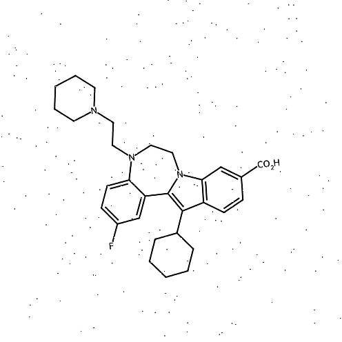 O=C(O)c1ccc2c(C3CCCCC3)c3n(c2c1)CCN(CCN1CCCCC1)c1ccc(F)cc1-3